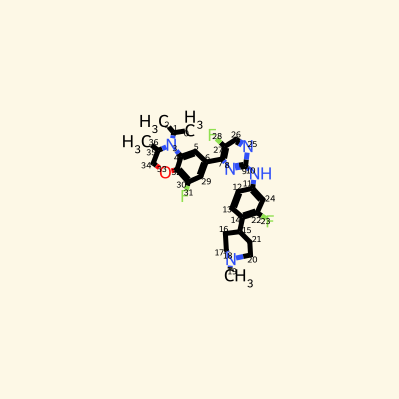 CC(C)N1c2cc(-c3nc(Nc4ccc(C5CCN(C)CC5)c(F)c4)ncc3F)cc(F)c2OCC1C